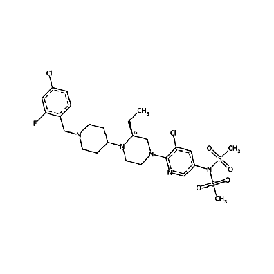 CC[C@H]1CN(c2ncc(N(S(C)(=O)=O)S(C)(=O)=O)cc2Cl)CCN1C1CCN(Cc2ccc(Cl)cc2F)CC1